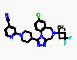 CC1(N2Cc3cc(Cl)ccc3-n3c(nnc3C3CCN(c4cc(C#N)ccn4)CC3)C2)CC(F)(F)C1